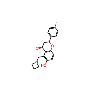 O=C1CC(c2ccc(F)cc2)Oc2ccc(O)c(CN3CCC3)c21